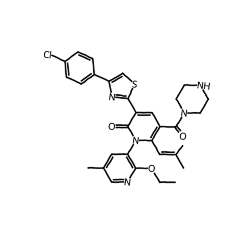 CCOc1ncc(C)cc1-n1c(C=C(C)C)c(C(=O)N2CCNCC2)cc(-c2nc(-c3ccc(Cl)cc3)cs2)c1=O